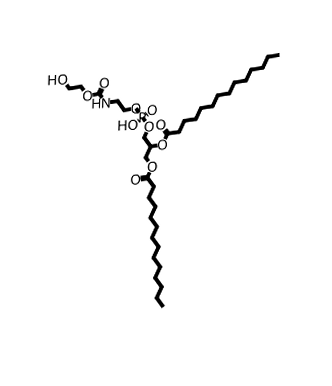 CCCCCCCCCCCCCC(=O)OCC(COP(=O)(O)OCCNC(=O)OCCO)OC(=O)CCCCCCCCCCCCC